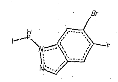 Fc1cc2cnn(PI)c2cc1Br